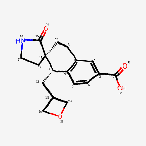 O=C(O)c1ccc2c(c1)CC[C@@]1(CCNC1=O)[C@H]2CC1COC1